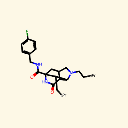 CC(C)CCN1CC2CC3(C(=O)NCc4ccc(F)cc4)NC(=O)C2C1C3CC(C)C